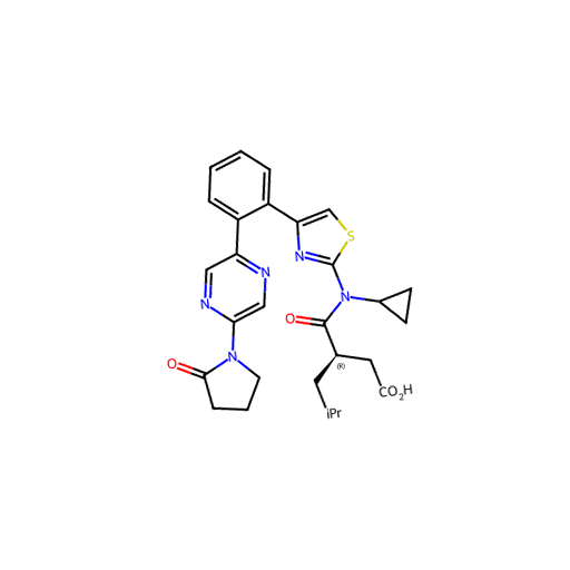 CC(C)C[C@H](CC(=O)O)C(=O)N(c1nc(-c2ccccc2-c2cnc(N3CCCC3=O)cn2)cs1)C1CC1